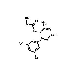 CC(C)(C)OC(=O)NC(C(N)=O)[C@@H](CC(=O)O)c1cc(Cl)cc(C(F)(F)F)c1